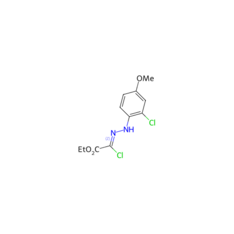 CCOC(=O)/C(Cl)=N/Nc1ccc(OC)cc1Cl